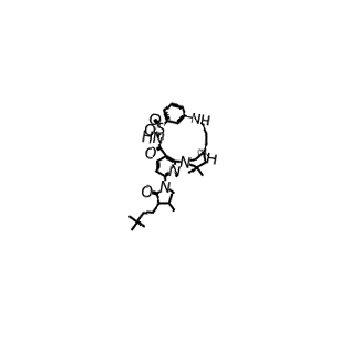 CC1CN(c2ccc3c(n2)N2C[C@@H](CCCNc4cccc(c4)S(=O)(=O)NC3=O)CC2(C)C)C(=O)C1CCC(C)(C)C